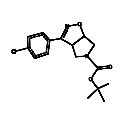 CC(C)(C)OC(=O)N1CC2ON=C(c3ccc(Cl)cc3)C2C1